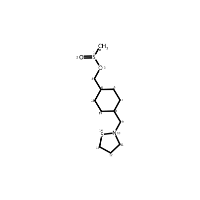 CS(=O)OCC1CCC(CN2CCCS2)CC1